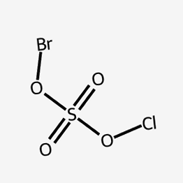 O=S(=O)(OCl)OBr